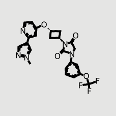 Cn1cc(-c2cc(O[C@H]3C[C@H](N4C(=O)CN(c5cccc(OC(F)(F)F)c5)C4=O)C3)ccn2)cn1